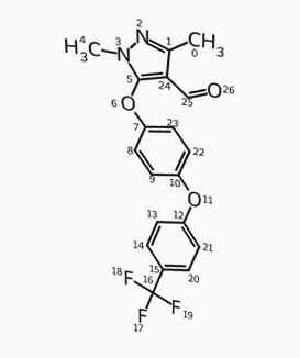 Cc1nn(C)c(Oc2ccc(Oc3ccc(C(F)(F)F)cc3)cc2)c1C=O